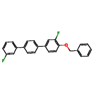 Fc1cccc(-c2ccc(-c3ccc(OCc4ccccc4)c(F)c3)cc2)c1